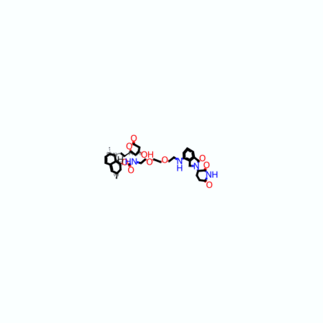 C[C@H]1C=C2C=C[C@H](C)[C@H](CC[C@@H]3C[C@@H](O)CC(=O)O3)[C@H]2[C@@H](OC(=O)NCCOCCOCCNc2cccc3c2CN(C2CCC(=O)NC2=O)C3=O)C1